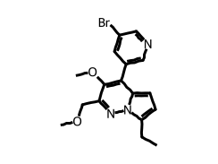 CCc1ccc2c(-c3cncc(Br)c3)c(OC)c(COC)nn12